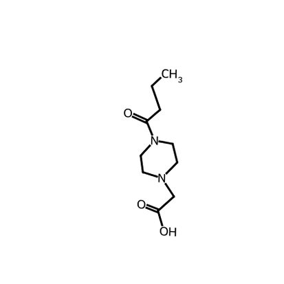 CCCC(=O)N1CCN(CC(=O)O)CC1